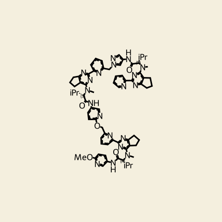 COc1ccc(NC(=O)[C@@H](C(C)C)N(C)c2nc(-c3cccc(COc4ccc(NC(=O)[C@H](C(C)C)N(C)c5nc(-c6cccc(Cn7cc(NC(=O)[C@@H](C(C)C)N(C)c8nc(-c9ccccn9)nc9c8CCC9)cn7)n6)nc6c5CCC6)cn4)n3)nc3c2CCC3)cn1